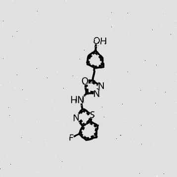 Oc1ccc(-c2nnc(Nc3nc4c(F)cccc4s3)o2)cc1